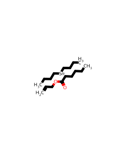 C=CCOC(=O)CCCCC.CCC[CH2][Sn][CH2]CCC